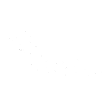 C[Si](C)(C)CCOC(=O)N1CCN(Cc2ccc(COc3cccc(O)c3N)cc2)CC1